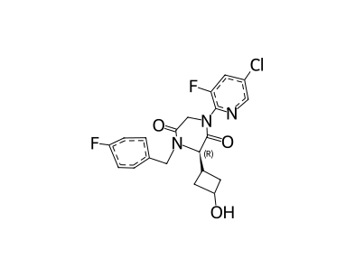 O=C1[C@@H](C2CC(O)C2)N(Cc2ccc(F)cc2)C(=O)CN1c1ncc(Cl)cc1F